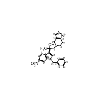 O=[N+]([O-])c1ccc2c(C(O)(CN3CCc4[nH]ncc4C3)C(F)(F)F)cn(Cc3ccccc3)c2c1